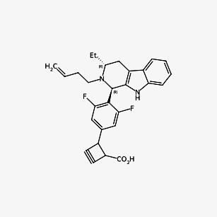 C=CCCN1[C@H](CC)Cc2c([nH]c3ccccc23)[C@H]1c1c(F)cc(C2C#CC2C(=O)O)cc1F